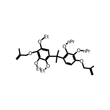 C=C(C)COc1ccc(C(C)(C)c2cc(OCC)c(OCC(=C)C)c(OCC)c2OCC)c(OCCC)c1OCCC